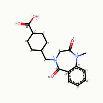 CN1C(=O)CN(CC2CCC(C(=O)O)CC2)C(=O)c2ccccc21